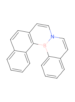 C1=CN2C=Cc3ccc4ccccc4c3B2c2ccccc21